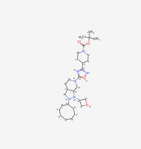 CC(C)(C)OC(=O)N1CCC(c2noc(N3CCC4CN(C5CCCCCCC5)N(C5COC5)C4C3)n2)CC1